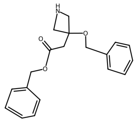 O=C(CC1(OCc2ccccc2)CNC1)OCc1ccccc1